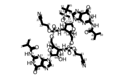 CC(C)C(=O)Nc1nc2c(ncn2[C@@H]2O[C@@H]3COP(=O)(OCCC#N)N[C@H]4[C@@H](O[Si](C)(C)C(C)(C)C)[C@H](n5cnc6c(=O)[nH]c(NC(=O)C(C)C)nc65)O[C@@H]4COP(=O)(OCCC#N)N[C@H]3[C@H]2O)c(=O)[nH]1